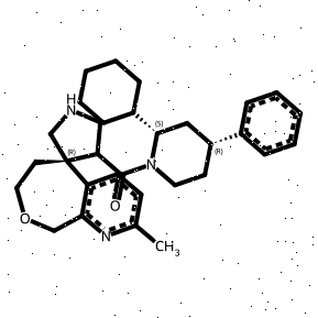 Cc1ccc2c(n1)COCC[C@]21CNCC1C(=O)N1CC[C@@H](c2ccccc2)C[C@H]1C1CCCCC1